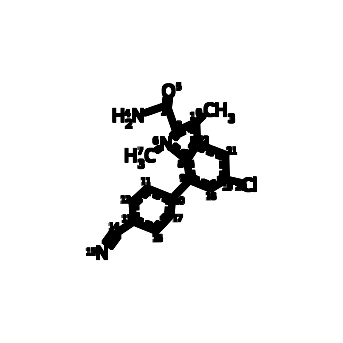 Cc1c(C(N)=O)n(C)c2c(-c3ccc(C#N)cc3)cc(Cl)cc12